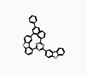 c1ccc(-c2cccc(-c3ccc4sc5cccc(-c6nc(-c7ccccc7)nc(-c7ccc8oc9ccccc9c8c7)n6)c5c4c3)c2)cc1